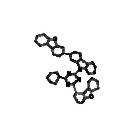 c1ccc(-c2nc(-c3cccc4oc5ccccc5c34)nc(-n3c4ccccc4c4ccc(-c5ccc6c(c5)oc5ccccc56)cc43)n2)cc1